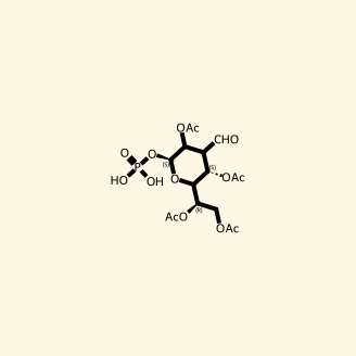 CC(=O)OC[C@@H](OC(C)=O)C1O[C@@H](OP(=O)(O)O)C(OC(C)=O)C(C=O)[C@@H]1OC(C)=O